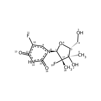 C[C@@]1(O)[C@@H](CO)O[C@H](n2cc(F)c(=O)[nH]c2=O)[C@@]1(C)F